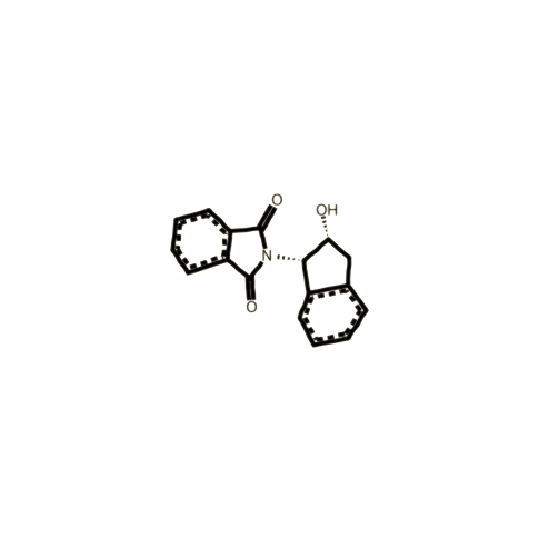 O=C1c2ccccc2C(=O)N1[C@H]1c2ccccc2C[C@H]1O